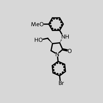 COc1cccc(N[C@@H]2C(=O)N(c3ccc(Br)cc3)C[C@H]2CO)c1